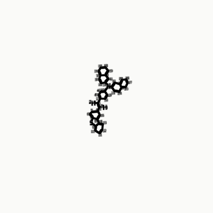 [2H]/C(=C(/[2H])c1ccc2sc3ccccc3c2c1)c1ccc(N(c2ccc3ccccc3c2)c2ccc3ccccc3c2)cc1